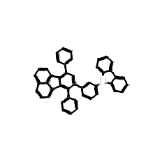 c1ccc(-c2cc(-c3cccc(-n4c5ccccc5c5ccccc54)c3)c(-c3ccccc3)c3c2-c2cccc4cccc-3c24)cc1